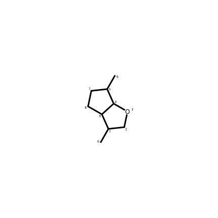 CC1COC2C(C)CCC12